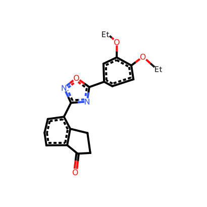 CCOc1ccc(-c2nc(-c3cccc4c3CCC4=O)no2)cc1OCC